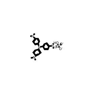 CN(C)c1ccc(N(c2ccc(N(C)C)cc2)c2ccc(N(C)C)cc2)cc1.[O-][Cl+3]([O-])([O-])O